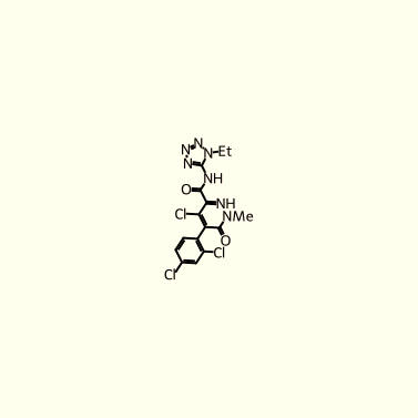 CCn1nnnc1NC(=O)C(=N)/C(Cl)=C(\C(=O)NC)c1ccc(Cl)cc1Cl